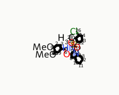 COc1ccc(COc2cc3ccccc3nc2NS(=O)(=O)c2cccc(Cl)c2C)cc1OC